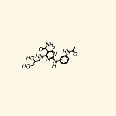 CC(=O)Nc1cccc(Nc2ncc(C(N)=O)c(NCC(O)CO)n2)c1